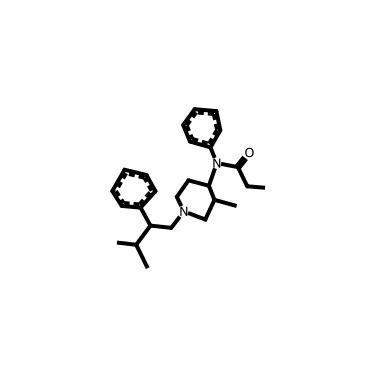 CCC(=O)N(c1ccccc1)C1CCN(CC(c2ccccc2)C(C)C)CC1C